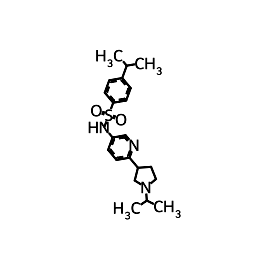 CC(C)c1ccc(S(=O)(=O)Nc2ccc(C3CCN(C(C)C)C3)nc2)cc1